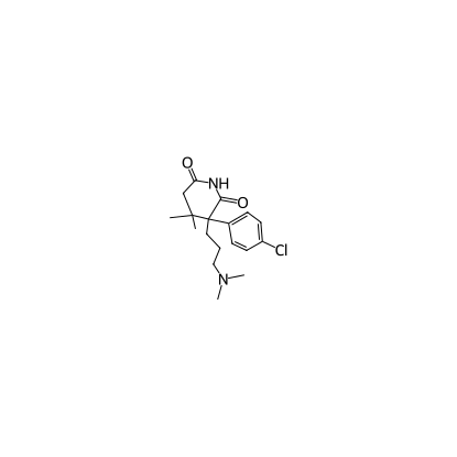 CN(C)CCCC1(c2ccc(Cl)cc2)C(=O)NC(=O)CC1(C)C